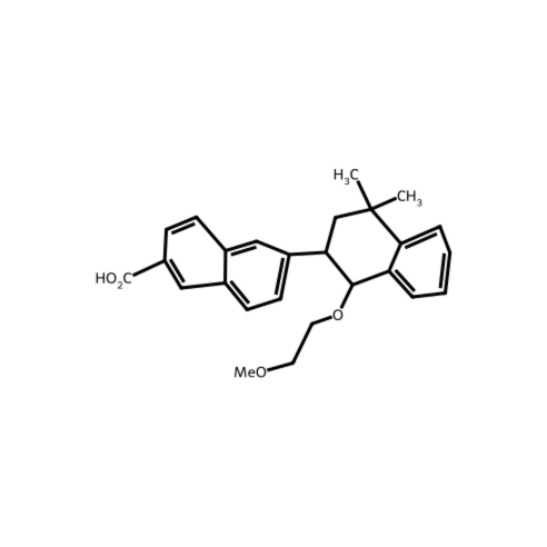 COCCOC1c2ccccc2C(C)(C)CC1c1ccc2cc(C(=O)O)ccc2c1